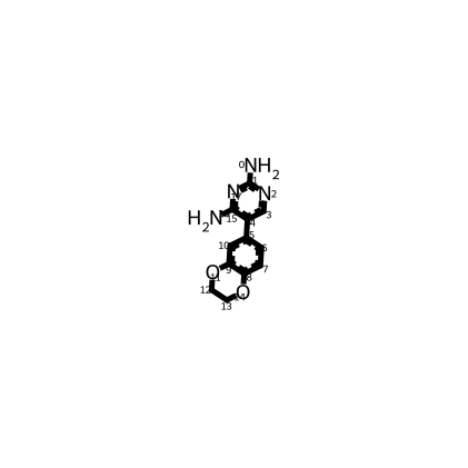 Nc1ncc(-c2ccc3c(c2)OCCO3)c(N)n1